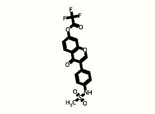 CS(=O)(=O)Nc1ccc(-c2coc3cc(OC(=O)C(F)(F)F)ccc3c2=O)cc1